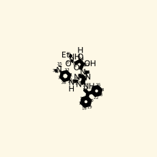 CCNC(=O)[C@H]1O[C@@H](n2cnc3c(NCC(c4ccccc4)c4ccccc4)nc(N[C@H]4CC[C@H](N(C)C)CC4)nc32)[C@H](O)[C@@H]1O